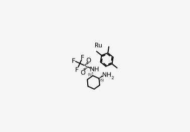 Cc1ccc(C)c(C)c1.N[C@H]1CCCC[C@@H]1NS(=O)(=O)C(F)(F)F.[Ru]